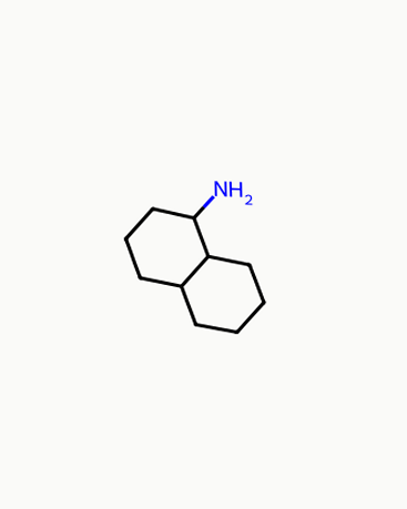 NC1CCCC2CCCCC12